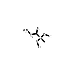 CCO[Si](C)(OCC)C(CC)NN